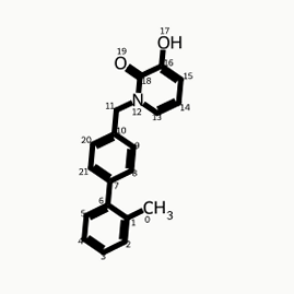 Cc1ccccc1-c1ccc(Cn2cccc(O)c2=O)cc1